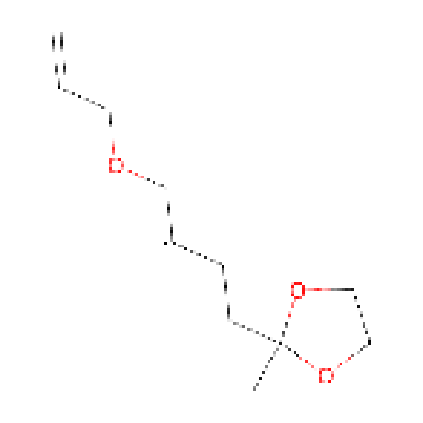 C=CCOC[CH]CCC1(C)OCCO1